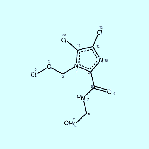 CCOCn1c(C(=O)NCC=O)nc(Cl)c1Cl